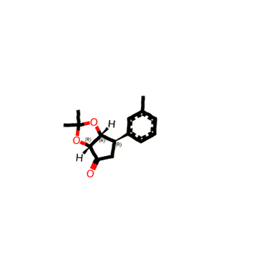 Cc1cccc([C@H]2CC(=O)[C@@H]3OC(C)(C)O[C@H]23)c1